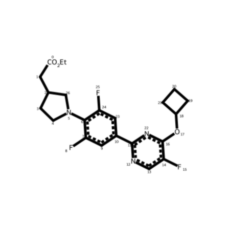 CCOC(=O)CC1CCN(c2c(F)cc(-c3ncc(F)c(OC4CCC4)n3)cc2F)C1